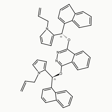 C=CCn1cccc1[C@@H](Oc1nnc(O[C@@H](c2cccc3ccccc23)c2cccn2CC=C)c2ccccc12)c1cccc2ccccc12